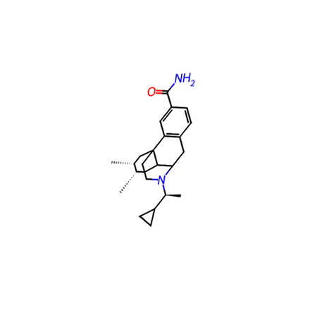 C[C@@H]1CC23CCN([C@@H](C)C4CC4)C(Cc4ccc(C(N)=O)cc42)C3C[C@@H]1C